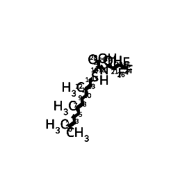 CC(C)=CCC/C(C)=C/CC/C(C)=C/CSC[C@H](N[C@H](O)/C=C/C(F)(F)F)C(=O)O